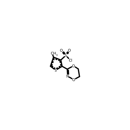 Cc1csc(C2=NOCCO2)c1S(=O)(=O)Cl